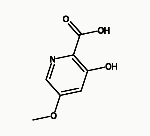 COc1cnc(C(=O)O)c(O)c1